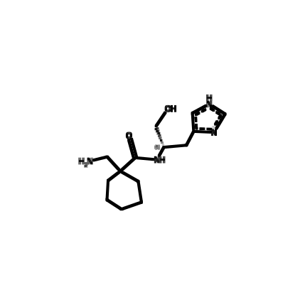 NCC1(C(=O)N[C@H](CO)Cc2c[nH]cn2)CCCCC1